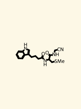 CSCC(NC(=O)CCCc1c[nH]c2ccccc12)C(=O)NCC#N